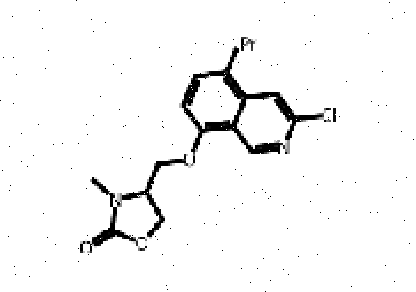 CC(C)c1ccc(OCC2COC(=O)N2C)c2cnc(Cl)cc12